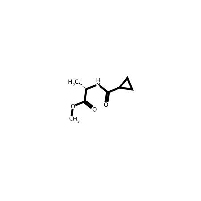 COC(=O)[C@H](C)NC(=O)C1CC1